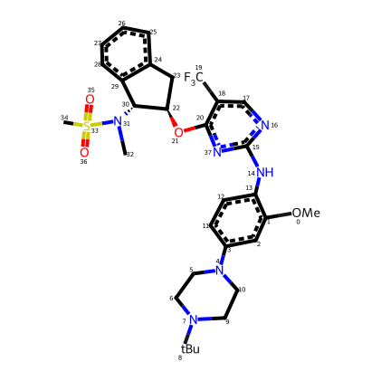 COc1cc(N2CCN(C(C)(C)C)CC2)ccc1Nc1ncc(C(F)(F)F)c(O[C@@H]2Cc3ccccc3[C@H]2N(C)S(C)(=O)=O)n1